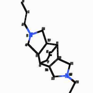 CCCN1CC2C3CCC(C4CN(CC)CC34)C2C1